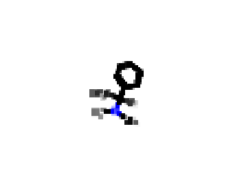 CCC(C(=O)O)(c1ccccc1)N(C)C